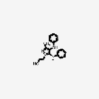 Cc1nn(CCO)c(Nc2ccccc2)c1Nc1ccccc1